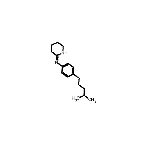 CC(C)CCSc1ccc(/N=C2/CCCCN2)cc1